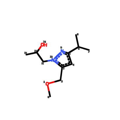 COCc1cc(C(C)C)nn1CC(C)O